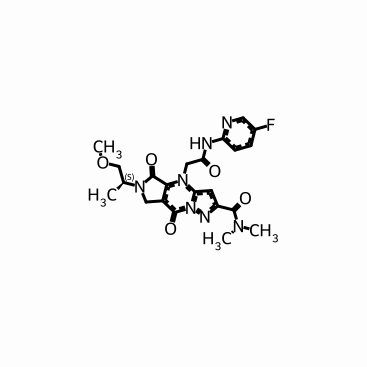 COC[C@H](C)N1Cc2c(n(CC(=O)Nc3ccc(F)cn3)c3cc(C(=O)N(C)C)nn3c2=O)C1=O